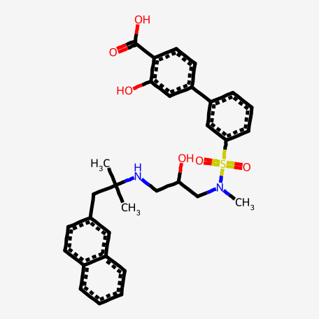 CN(CC(O)CNC(C)(C)Cc1ccc2ccccc2c1)S(=O)(=O)c1cccc(-c2ccc(C(=O)O)c(O)c2)c1